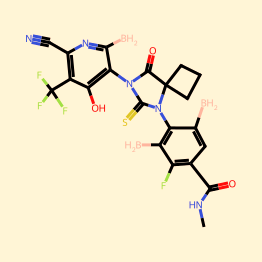 Bc1cc(C(=O)NC)c(F)c(B)c1N1C(=S)N(c2c(B)nc(C#N)c(C(F)(F)F)c2O)C(=O)C12CCC2